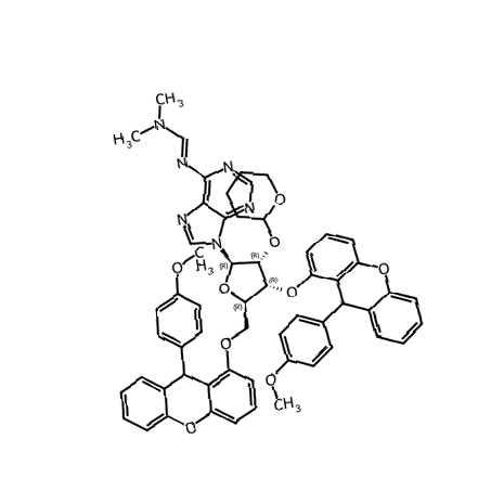 COc1ccc(C2c3ccccc3Oc3cccc(OC[C@H]4O[C@@H](n5cnc6c(N=CN(C)C)ncnc65)[C@H](OC5CCCCO5)[C@@H]4Oc4cccc5c4C(c4ccc(OC)cc4)c4ccccc4O5)c32)cc1